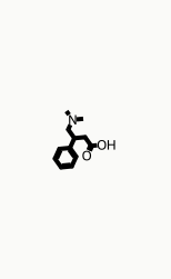 CN(C)CC(CC(=O)O)c1ccccc1